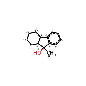 CC1(O)c2ccccc2C2CCCCC21